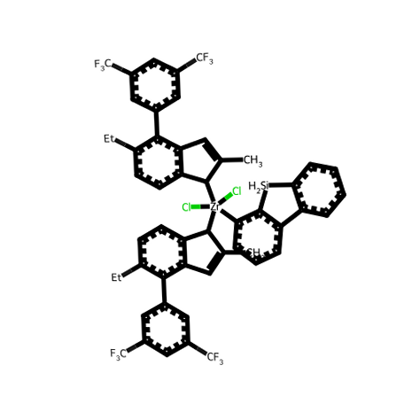 CCc1ccc2c(c1-c1cc(C(F)(F)F)cc(C(F)(F)F)c1)C=C(C)[CH]2[Zr]([Cl])([Cl])([c]1cccc2c1[SiH2]c1ccccc1-2)[CH]1C(C)=Cc2c1ccc(CC)c2-c1cc(C(F)(F)F)cc(C(F)(F)F)c1